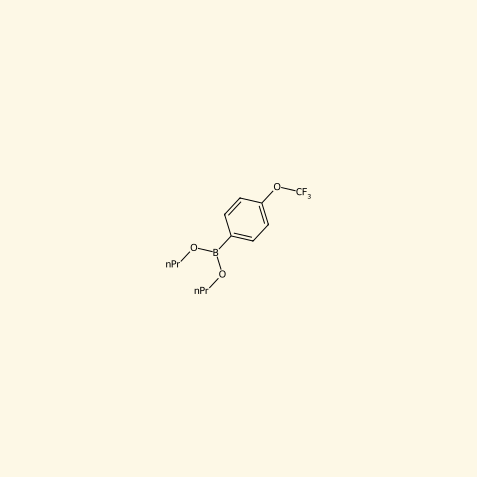 CCCOB(OCCC)c1ccc(OC(F)(F)F)cc1